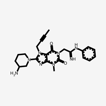 CC#CCn1c(N2CCCC(N)C2)nc2c1c(=O)n(CC(=N)Nc1ccccc1)c(=O)n2C